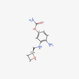 NC(=O)Oc1ccc(N)c(NC[C@@H]2CCO2)c1